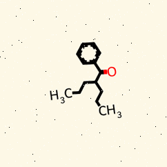 CCCC(CCC)C(=O)c1ccccc1